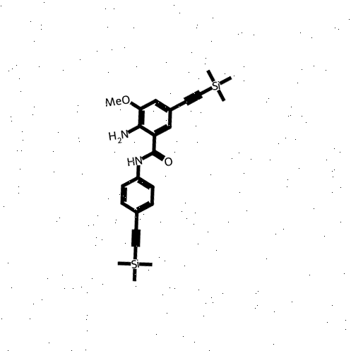 COc1cc(C#C[Si](C)(C)C)cc(C(=O)Nc2ccc(C#C[Si](C)(C)C)cc2)c1N